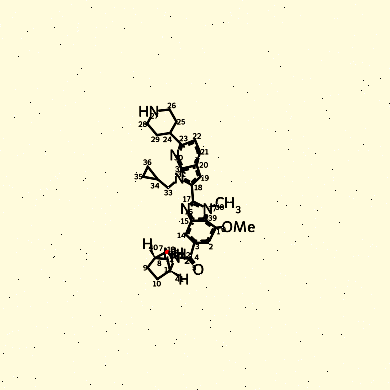 COc1cc(C(=O)N2C[C@H]3CC[C@@H]2[C@@H]3N)cc2nc(-c3cc4ccc(C5CCNCC5)nc4n3CC3CC3)n(C)c12